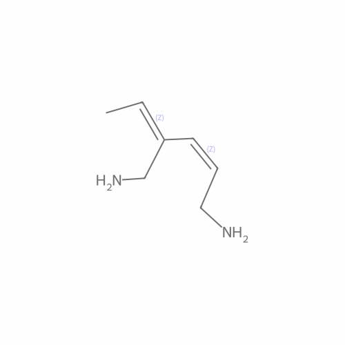 C/C=C(/C=C\CN)CN